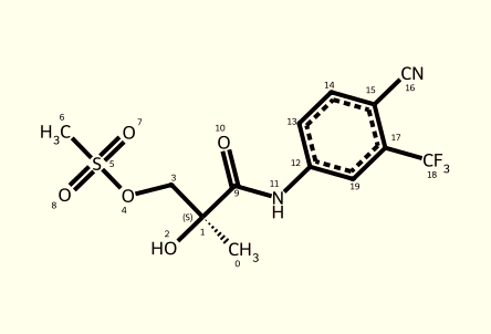 C[C@](O)(COS(C)(=O)=O)C(=O)Nc1ccc(C#N)c(C(F)(F)F)c1